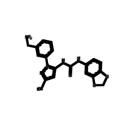 CC(C)(C)c1cc(NC(=O)Nc2ccc3c(c2)OCO3)n(-c2cccc(CN)c2)n1